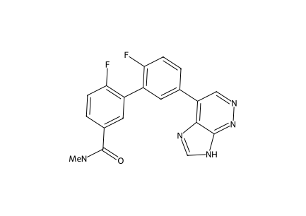 CNC(=O)c1ccc(F)c(-c2cc(-c3cnnc4[nH]cnc34)ccc2F)c1